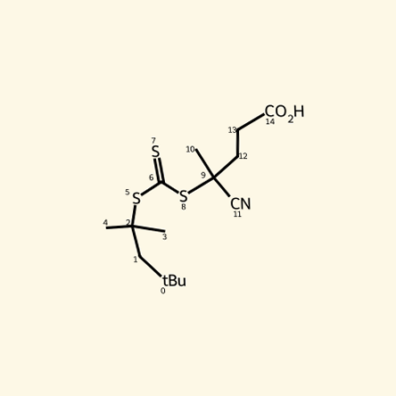 CC(C)(C)CC(C)(C)SC(=S)SC(C)(C#N)CCC(=O)O